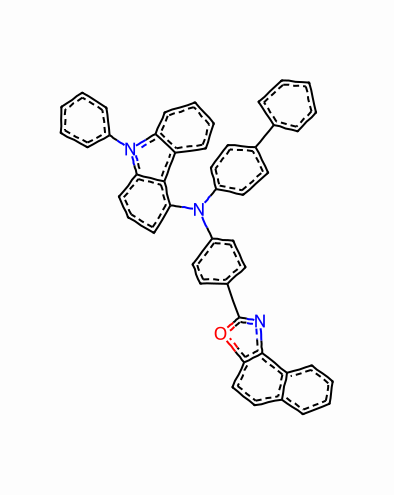 c1ccc(-c2ccc(N(c3ccc(-c4nc5c(ccc6ccccc65)o4)cc3)c3cccc4c3c3ccccc3n4-c3ccccc3)cc2)cc1